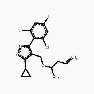 C=CCC(C)OCc1c(-c2c(Cl)cc(F)cc2Cl)noc1C1CC1